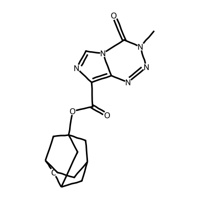 Cn1nnc2c(C(=O)OC34CC5CCC(CC(C5)C3)C4)ncn2c1=O